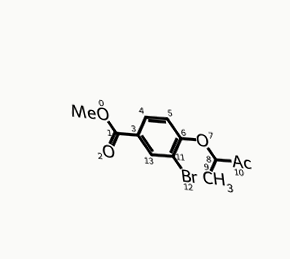 COC(=O)c1ccc(OC(C)C(C)=O)c(Br)c1